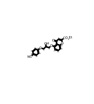 CCOC(=O)c1cc(=O)c2c(OCC(O)COc3ccc(C#N)cc3)cccc2o1